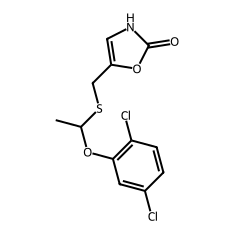 CC(Oc1cc(Cl)ccc1Cl)SCc1c[nH]c(=O)o1